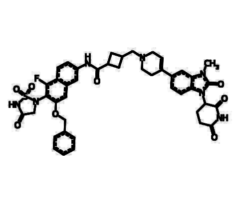 Cn1c(=O)n(C2CCC(=O)NC2=O)c2ccc(C3=CCN(CC4CC(C(=O)Nc5ccc6c(F)c(N7CC(=O)NS7(=O)=O)c(OCc7ccccc7)cc6c5)C4)CC3)cc21